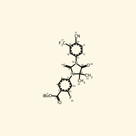 CC(C)COC(=O)c1ccc(N2C(=S)N(c3ccc(C#N)c(C(F)(F)F)c3)C(=O)C2(C)C)cc1F